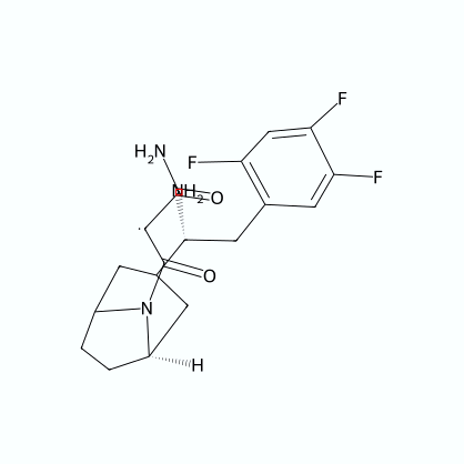 NC(=O)[CH]C(=O)N1C2CC[C@@H]1CC([C@H](N)Cc1cc(F)c(F)cc1F)C2